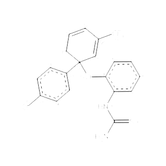 NC(=S)Nc1ccccc1OC1(c2ccc(Cl)cc2)C=C(C(F)(F)F)C=CC1